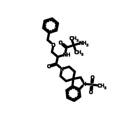 CC(C)(N)C(=O)NC(COCc1ccccc1)C(=O)N1CCC2(CC1)CN(S(C)(=O)=O)c1ccccc12